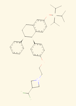 CC(C)[Si](Oc1ccc2c(c1)CC[C@H](c1ccccc1)[C@@H]2c1ccc(OCCN2CC(C(F)F)C2)cc1)(C(C)C)C(C)C